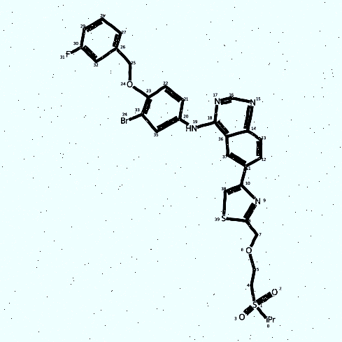 CC(C)S(=O)(=O)CCOCc1nc(-c2ccc3ncnc(Nc4ccc(OCc5cccc(F)c5)c(Br)c4)c3c2)cs1